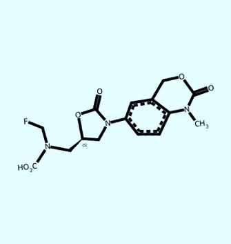 CN1C(=O)OCc2cc(N3C[C@@H](CN(CF)C(=O)O)OC3=O)ccc21